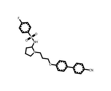 N#Cc1ccc(-c2ccc(OCCCN3CCCC3NS(=O)(=O)c3ccc(F)cc3)cc2)cc1